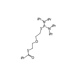 CC(C)C(=O)SCCOCCSP(N(C(C)C)C(C)C)N(C(C)C)C(C)C